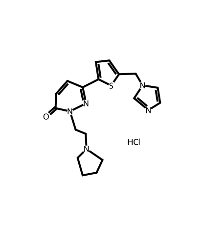 Cl.O=c1ccc(-c2ccc(Cn3ccnc3)s2)nn1CCN1CCCC1